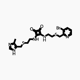 Cc1nc[nH]c1CSCCNc1c(NCCSCc2ncccc2Br)c(=O)c1=O